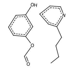 CCCCc1ccccn1.O=COc1cccc(O)c1